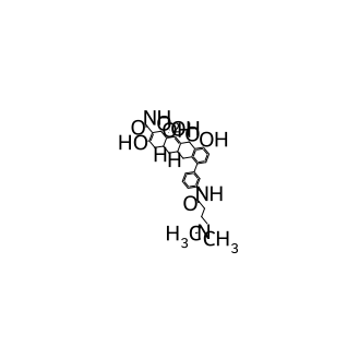 CN(C)CCCC(=O)Nc1cccc(-c2ccc(O)c3c2C[C@H]2C[C@H]4CC(O)=C(C(N)=O)C(=O)[C@@]4(O)C(O)=C2C3=O)c1